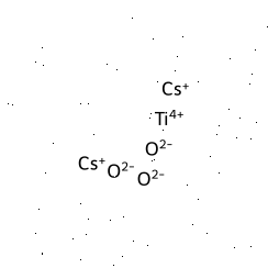 [Cs+].[Cs+].[O-2].[O-2].[O-2].[Ti+4]